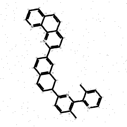 Cc1cccnc1-c1nc(C2C=Cc3ccc(-c4ccc5ccc6cccnc6c5n4)cc3C2)ccc1C